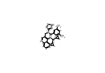 FC(F)(F)c1cc(CN(Cc2cnc3ccccc3c2NC(C2CC2)C2CC2)c2nn[nH]n2)cc(C(F)(F)F)c1